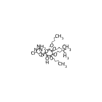 CCCCOC[C@H]1O[C@@H](n2ccc3c(Cl)nc(N)nc32)[C@H](O)[C@H](OCCCC)[C@@H](OCCCC)[C@@H]1OCCCC